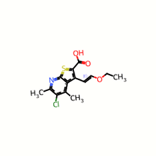 CCO/C=C/c1c(C(=O)O)sc2nc(C)c(Cl)c(C)c12